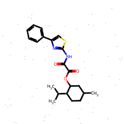 CC1CCC(C(C)C)C(OC(=O)C(=O)Nc2nc(-c3ccccc3)cs2)C1